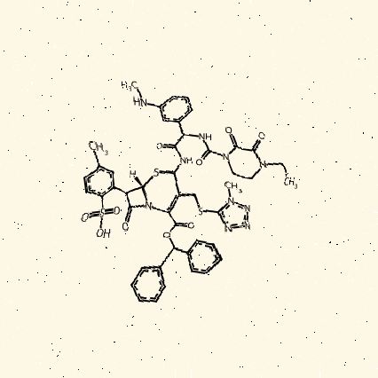 CCN1CCN(C(=O)NC(C(=O)NC2S[C@H]3[C@H](c4cc(C)ccc4S(=O)(=O)O)C(=O)N3C(C(=O)OC(c3ccccc3)c3ccccc3)=C2CSc2nnnn2C)c2cccc(NC)c2)C(=O)C1=O